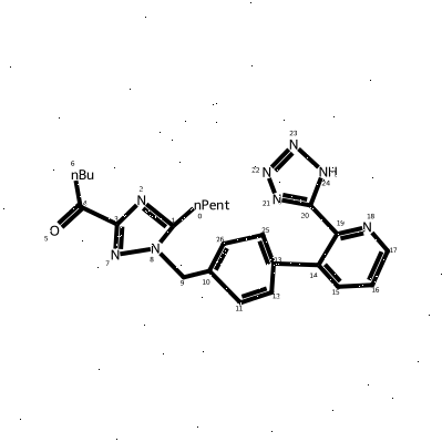 CCCCCc1nc(C(=O)CCCC)nn1Cc1ccc(-c2cccnc2-c2nnn[nH]2)cc1